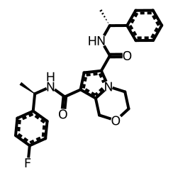 C[C@@H](NC(=O)c1cc(C(=O)N[C@H](C)c2ccccc2)n2c1COCC2)c1ccc(F)cc1